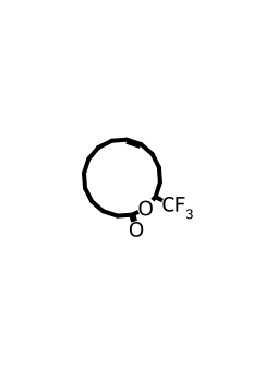 O=C1CCCCCCCCC=CCCCC(C(F)(F)F)O1